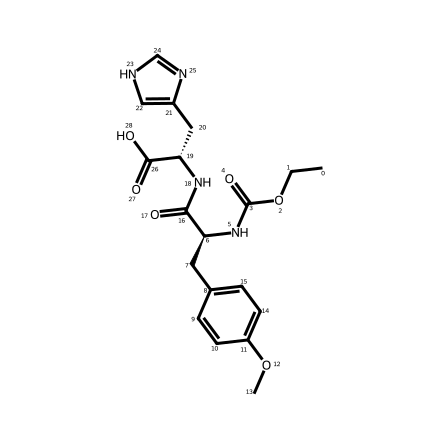 CCOC(=O)N[C@@H](Cc1ccc(OC)cc1)C(=O)N[C@@H](Cc1c[nH]cn1)C(=O)O